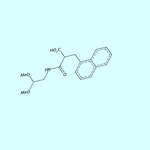 COC(CNC(=O)C(Cc1cccc2ccccc12)C(=O)O)OC